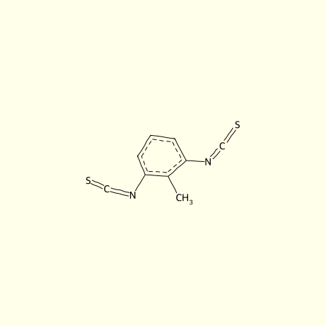 Cc1c(N=C=S)cccc1N=C=S